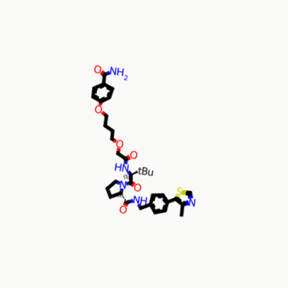 Cc1ncsc1-c1ccc(CNC(=O)[C@@H]2CCCN2C(=O)[C@@H](NC(=O)COCCCCOc2ccc(C(N)=O)cc2)C(C)(C)C)cc1